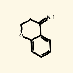 N=C1CCOc2ccccc21